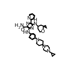 NC(=O)c1nc(-c2ccccn2)c(NC2CCOC3(CC3)C2)nc1Nc1ccc(N2CCC(N3CCN(C4CC4)CC3)CC2)cc1